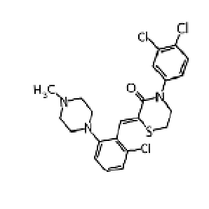 CN1CCN(c2cccc(Cl)c2C=C2SCCN(c3ccc(Cl)c(Cl)c3)C2=O)CC1